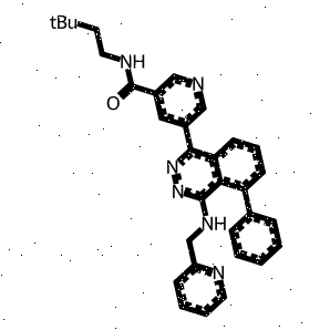 CC(C)(C)CCNC(=O)c1cncc(-c2nnc(NCc3ccccn3)c3c(-c4ccccc4)cccc23)c1